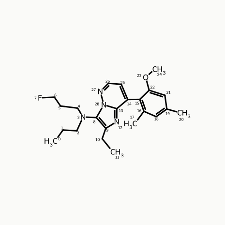 CCCN(CCCF)c1c(CC)nc2c(-c3c(C)cc(C)cc3OC)ccnn12